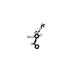 COc1c(C#CC(=O)c2ccccc2)cc(Cl)c2c1ncn2COCC[Si](C)(C)C